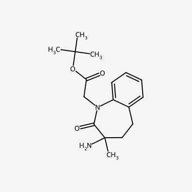 CC(C)(C)OC(=O)CN1C(=O)C(C)(N)CCc2ccccc21